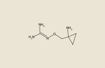 NC(N)=NOCC1(N)CC1